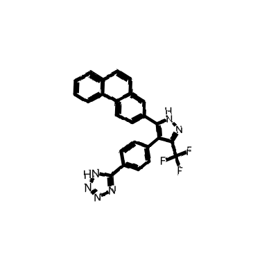 FC(F)(F)c1n[nH]c(-c2ccc3c(ccc4ccccc43)c2)c1-c1ccc(-c2nnn[nH]2)cc1